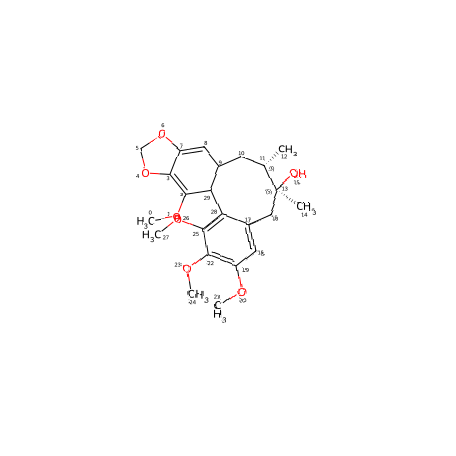 COC1=C2OCOC2=CC2C[C@H](C)[C@@](C)(O)Cc3cc(OC)c(OC)c(OC)c3C12